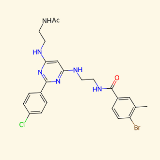 CC(=O)NCCNc1cc(NCCNC(=O)c2ccc(Br)c(C)c2)nc(-c2ccc(Cl)cc2)n1